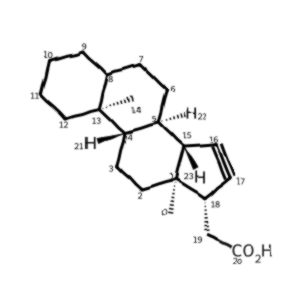 C[C@]12CC[C@H]3[C@@H](CCC4CCCC[C@@]43C)[C@@H]1C#C[C@@H]2CC(=O)O